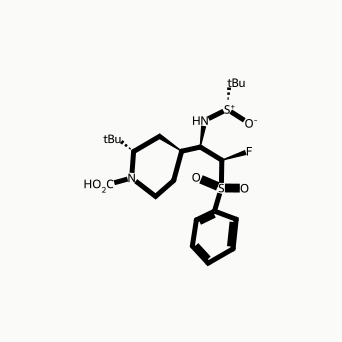 CC(C)(C)[C@@H]1C[C@@H]([C@@H](N[S@@+]([O-])C(C)(C)C)[C@@H](F)S(=O)(=O)c2ccccc2)CCN1C(=O)O